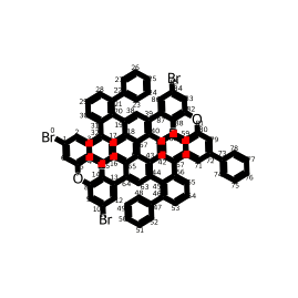 Brc1ccc2c(c1)Oc1cc(Br)cc3c1B2c1cc2c(-c4c(-c5ccccc5)cccc4-c4ccccc4)cc4c5c(cc6c(-c7c(-c8ccccc8)cccc7-c7ccccc7)cc-3c1c6c25)B1c2ccc(-c3ccccc3)cc2Oc2cc(Br)cc-4c21